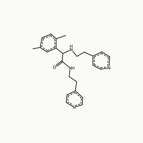 Cc1ccc(C)c(C(NCCc2ccncc2)C(=O)NCCc2ccncc2)c1